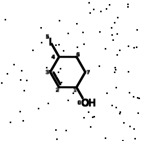 OC1C=CC(I)CC1